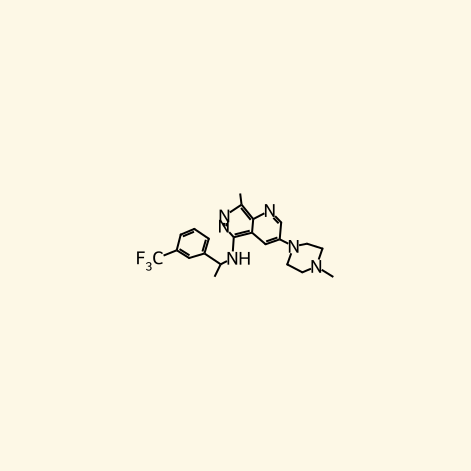 Cc1nnc(NC(C)c2cccc(C(F)(F)F)c2)c2cc(N3CCN(C)CC3)cnc12